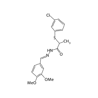 COc1ccc(C=NNC(=O)C(C)Sc2cccc(Cl)c2)cc1OC